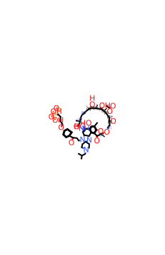 CO[C@H]1/C=C/O[C@@]2(C)Oc3c(C)c(O)c4c(c3C2=O)C2=NC3(CCN(CC(C)C)CC3)N(CCC(=O)c3ccc(OCCCC(P=O)P(=O)(O)O)cc3)C2C(=C4O)NC(=O)/C(C)=C\C=C\[C@H](C)[C@H](O)[C@@H](C)[C@@H](O)[C@@H](C)[C@H](OC(C)=O)[C@@H]1C